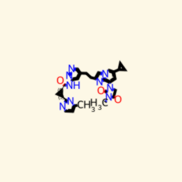 Cc1ccnc([C@H]2C[C@@H]2C(=O)Nc2cc(CCc3cn4cc(C5CC5)cc(N5CC(=O)N(C)C5=O)c4n3)cnn2)n1